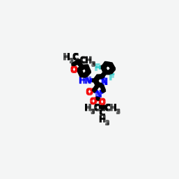 CC(C)(C)OC(=O)N1Cc2nc(-c3c(F)cccc3F)cc(Nc3ccc4c(c3)OCC4(C)C)c2C1=O